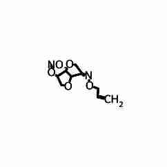 C=CCON=C1COC2C(O[N+](=O)[O-])COC12